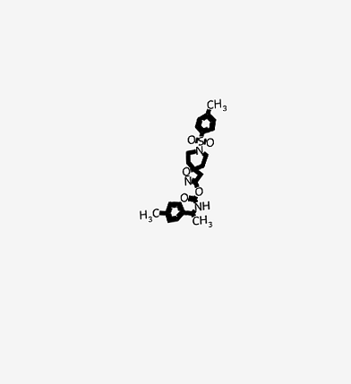 Cc1ccc(C(C)NC(=O)OC2=NOC3(CCN(S(=O)(=O)c4ccc(C)cc4)CC3)C2)cc1